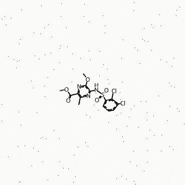 COC(=O)c1nc(OC)c(NS(=O)(=O)c2cccc(Cl)c2Cl)nc1C